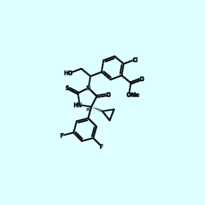 COC(=O)c1cc(C(CO)N2C(=O)[C@](c3cc(F)cc(F)c3)(C3CC3)NC2=S)ccc1Cl